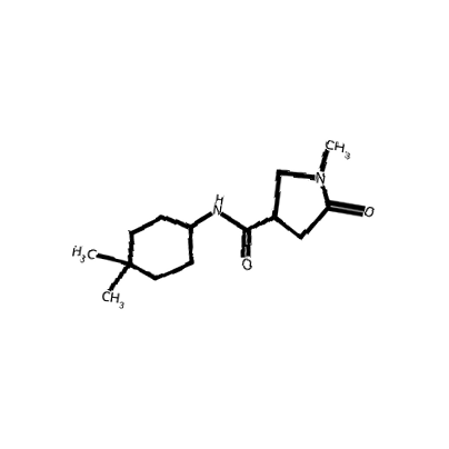 CN1CC(C(=O)NC2CCC(C)(C)CC2)CC1=O